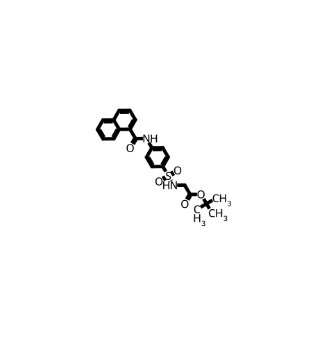 CC(C)(C)OC(=O)CNS(=O)(=O)c1ccc(NC(=O)c2cccc3ccccc23)cc1